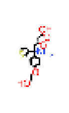 NC(CC(=O)CC(=O)O)(c1ccc(OCCO)cc1)c1ccsc1